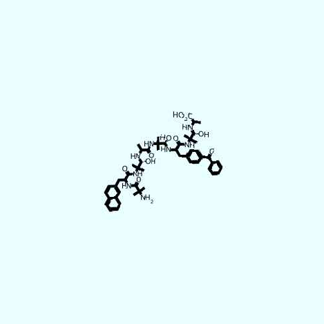 CC(N[C@H](O)C(C)(C)NC(=O)C(Cc1ccc(C(=O)c2ccccc2)cc1)N[C@H](O)C(C)(C)NC(=O)C(C)N[C@H](O)C(C)(C)NC(=O)C(Cc1ccc2ccccc2c1)NC(=O)C(C)(C)N)C(=O)O